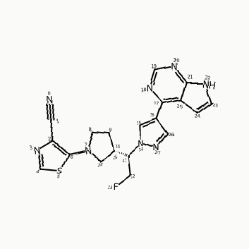 N#Cc1ncsc1N1CC[C@H](C(CF)n2cc(-c3ncnc4[nH]ccc34)cn2)C1